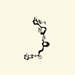 O=C(CCc1cccc(COc2ccc(-c3ccn[nH]3)nc2)c1)NCC1CCCO1